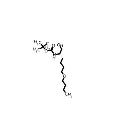 CCCCOCCCC[C@@H](CO)NC(=O)OC(C)(C)C